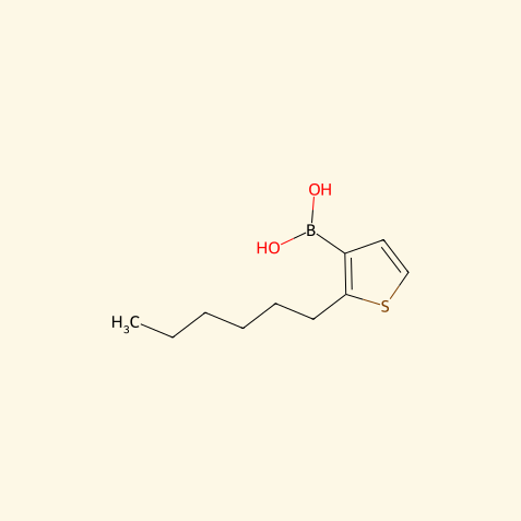 CCCCCCc1sccc1B(O)O